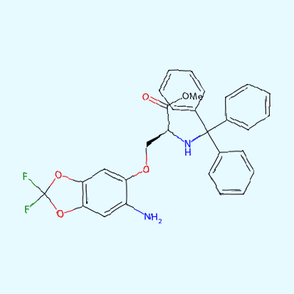 COC(=O)[C@H](COc1cc2c(cc1N)OC(F)(F)O2)NC(c1ccccc1)(c1ccccc1)c1ccccc1